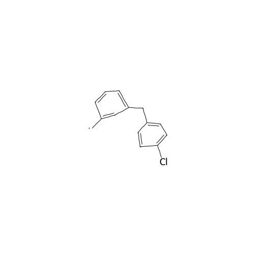 [CH2]c1cccc(Cc2ccc(Cl)cc2)c1